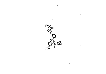 CCOc1ccc2nc(-c3cccc(OCC(=O)NC(C)(C)CF)c3)nc(Nc3cn[nH]c3)c2c1